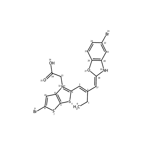 CCC(=Cc1sc2sc(Br)cc2[n+]1CC(=O)O)C=C1Nc2cc(Br)ccc2O1